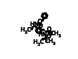 C=CC[C@H](NC(=O)OCc1ccccc1)c1cccc(C[C@@H](NC(=O)[C@H](C)C=C)C(=O)OC)c1